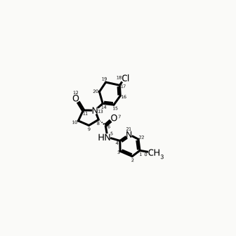 Cc1ccc(NC(=O)[C@@H]2CCC(=O)N2C2=CC=C(Cl)CC2)nc1